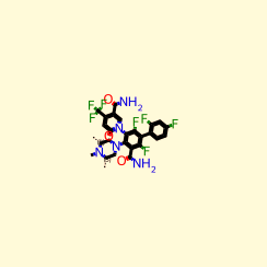 C[C@@H]1CN(c2c(C(N)=O)c(F)c(-c3ccc(F)cc3F)c(F)c2-n2cc(C(N)=O)c(C(F)(F)F)cc2=O)C[C@H](C)N1C